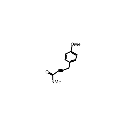 CNC(=O)C#CCc1ccc(OC)cc1